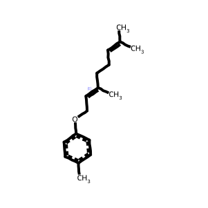 CC(C)=CCC/C(C)=C/COc1ccc(C)cc1